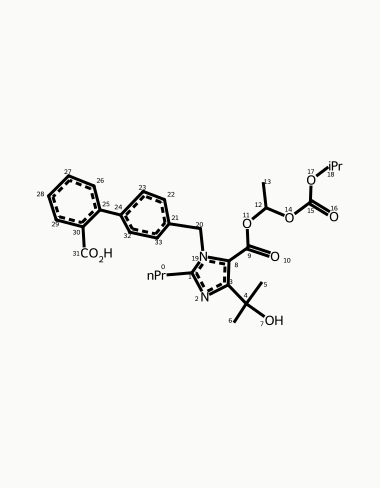 CCCc1nc(C(C)(C)O)c(C(=O)OC(C)OC(=O)OC(C)C)n1Cc1ccc(-c2ccccc2C(=O)O)cc1